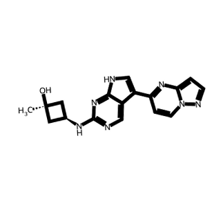 C[C@]1(O)C[C@@H](Nc2ncc3c(-c4ccn5nccc5n4)c[nH]c3n2)C1